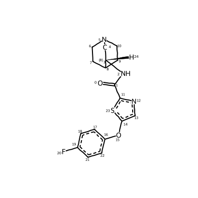 O=C(N[C@H]1CN2CCC1CC2)c1ncc(Oc2ccc(F)cc2)s1